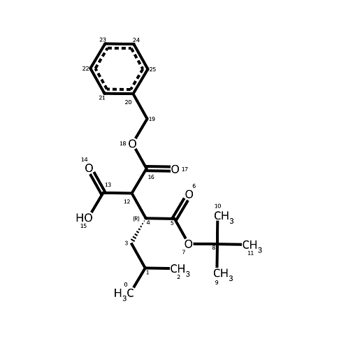 CC(C)C[C@@H](C(=O)OC(C)(C)C)C(C(=O)O)C(=O)OCc1ccccc1